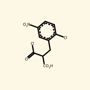 O=C(O)C(Cc1cc([N+](=O)[O-])ccc1Cl)C(=O)Cl